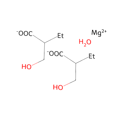 CCC(CO)C(=O)[O-].CCC(CO)C(=O)[O-].O.[Mg+2]